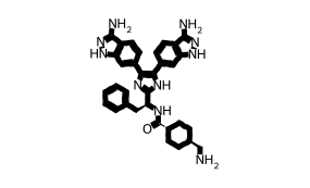 NC[C@H]1CC[C@H](C(=O)N[C@@H](Cc2ccccc2)c2nc(-c3ccc4c(N)n[nH]c4c3)c(-c3ccc4c(N)n[nH]c4c3)[nH]2)CC1